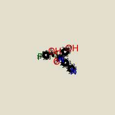 O=C1[C@H](SC[C@@H](O)c2ccc(F)cc2)[C@@H](c2ccc(O)cc2)N1c1ccc(-c2ccncc2)cc1